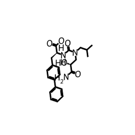 CC(C)CN(C[C@H](O)C(N)=O)C(=O)N[C@@H](Cc1ccc(-c2ccccc2)cc1)C(=O)O